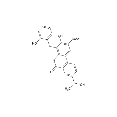 COc1cc2c(oc(=O)c3cc(C(C)O)ccc32)c(Cc2ccccc2O)c1O